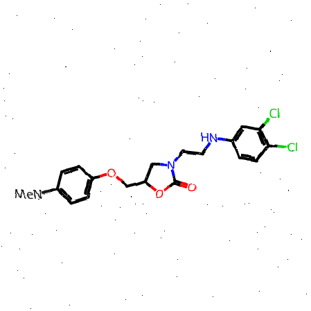 CNc1ccc(OCC2CN(CCNc3ccc(Cl)c(Cl)c3)C(=O)O2)cc1